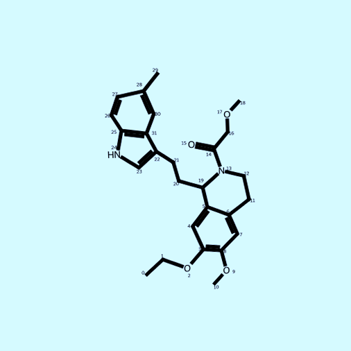 CCOc1cc2c(cc1OC)CCN(C(=O)COC)C2CCc1c[nH]c2ccc(C)cc12